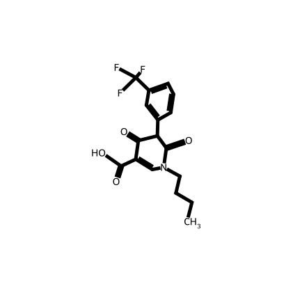 CCCCN1C=C(C(=O)O)C(=O)C(c2cccc(C(F)(F)F)c2)C1=O